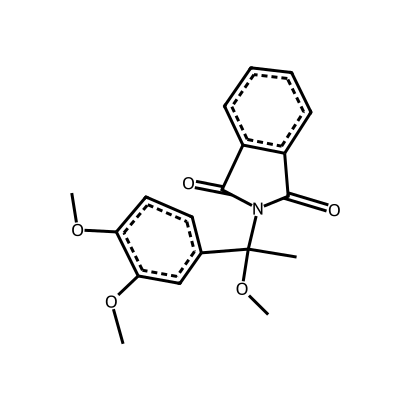 COc1ccc(C(C)(OC)N2C(=O)c3ccccc3C2=O)cc1OC